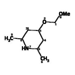 COCOC1CC(C)NC(C)C1